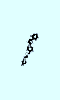 F[C@@H]1CCN(CCOCC2CCN(c3ccc(-c4ccccc4)s3)CC2)C1